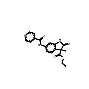 CCOC(=O)C1(C)C(=O)Nc2cc(NC(=O)c3ccncc3)ccc21